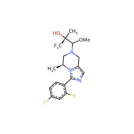 COC(N1Cc2cnc(-c3ccc(F)cc3F)n2[C@@H](C)C1)[C@@](C)(O)C(F)(F)F